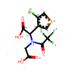 O=C(O)CN(C(=O)C(F)(F)F)C(C(=O)O)c1cscc1Br